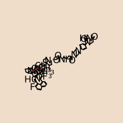 C#Cc1c(F)ccc2cccc(-c3ncc4c(N5CC6CCC(C5)N6C(=O)OC(C)(C)C)nc(OC[C@@]56CCCN5[C@H](COC(=O)NCCCC(=O)N5CCN(c7ccc(N8CCC(=O)NC8=O)cc7)CC5)CC6)nc4c3F)c12